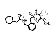 COC(=O)[C@H](C)NS(=O)(=O)Cc1ccccc1CNC(C)CC1CCCCC1